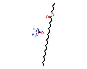 CCCCCCCCCCCCCCCCCC(=O)OCCCC.NC(N)=O